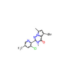 CCC(C)c1cc(C)n2nc(-c3ncc(C(F)(F)F)cc3Cl)n(C)c(=O)c12